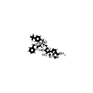 C[C@H](NP(=O)(OC[C@H]1O[C@@](C#N)(c2ccc3c(N)ncnn23)[C@H](O)[C@@H]1O)Oc1ccc(C(C)(C)C)cc1)C(=O)OCc1ccccc1